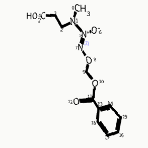 CN(CCC(=O)O)/[N+]([O-])=N/OCOC(=O)c1ccccc1